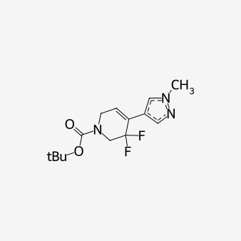 Cn1cc(C2=CCN(C(=O)OC(C)(C)C)CC2(F)F)cn1